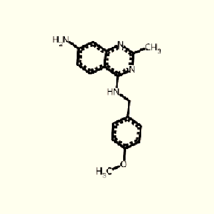 COc1ccc(CNc2nc(C)nc3cc(N)ccc23)cc1